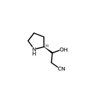 N#CCC(O)[C@@H]1CCCN1